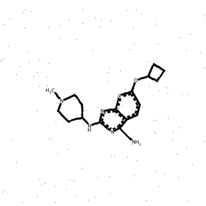 CN1CCC(Nc2nc(N)c3ccc(OC4CCC4)nc3n2)CC1